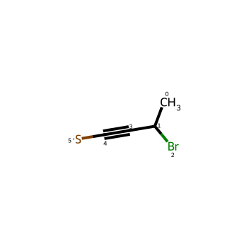 CC(Br)C#C[S]